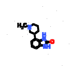 CN1CCCC(c2cccc3[nH]c(=O)[nH]c23)C1